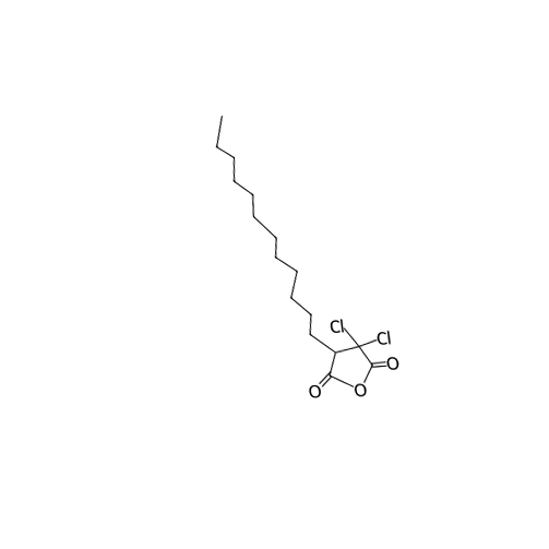 CCCCCCCCCCCCC1C(=O)OC(=O)C1(Cl)Cl